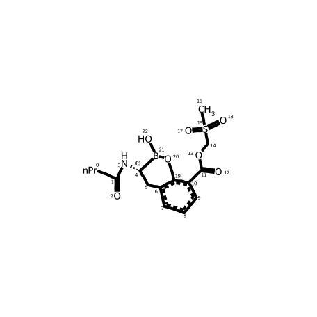 CCCC(=O)N[C@H]1Cc2cccc(C(=O)OCS(C)(=O)=O)c2OB1O